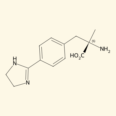 C[C@](N)(Cc1ccc(C2=NCCN2)cc1)C(=O)O